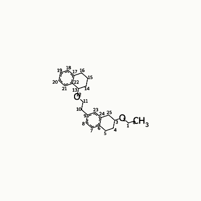 CCOC1CCc2ccc(CCOC3CCCc4ccccc43)cc2C1